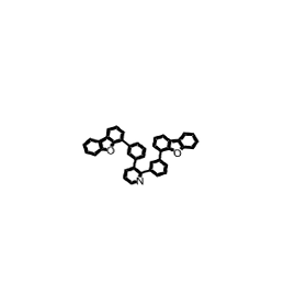 c1cc(-c2cccnc2-c2cccc(-c3cccc4c3oc3ccccc34)c2)cc(-c2cccc3c2oc2ccccc23)c1